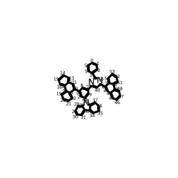 c1ccc(-c2nc(-c3cc(-c4cc5ccccc5c5ccccc45)cc(-n4c5ccccc5c5ccccc54)c3)cc(-c3cc4ccccc4c4ccccc34)n2)cc1